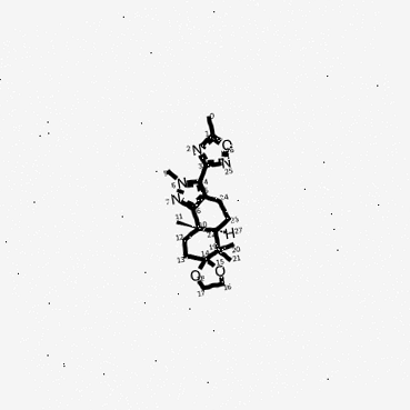 Cc1nc(-c2c3c(nn2C)[C@@]2(C)CCC4(OCCO4)C(C)(C)[C@@H]2CC3)no1